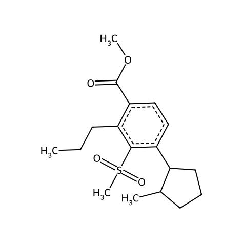 CCCc1c(C(=O)OC)ccc(C2CCCC2C)c1S(C)(=O)=O